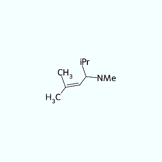 CNC(C=C(C)C)C(C)C